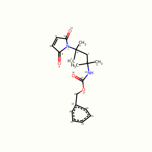 CC(C)(CC(C)(C)N1C(=O)C=CC1=O)NC(=O)OCc1ccccc1